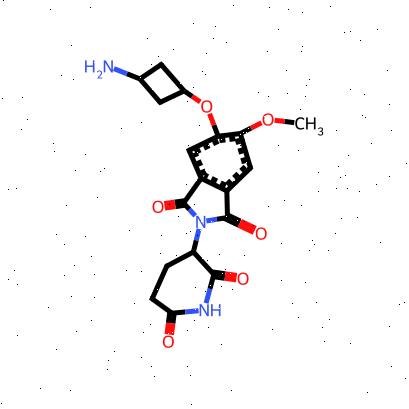 COc1cc2c(cc1OC1CC(N)C1)C(=O)N(C1CCC(=O)NC1=O)C2=O